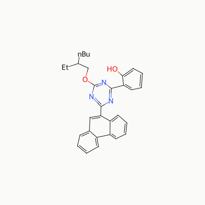 CCCCC(CC)COc1nc(-c2ccccc2O)nc(-c2cc3ccccc3c3ccccc23)n1